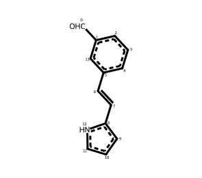 O=Cc1cccc(/C=C/c2ccc[nH]2)c1